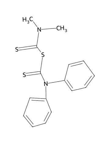 CN(C)C(=S)SC(=S)N(c1ccccc1)c1ccccc1